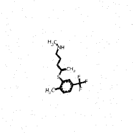 C=C(CCCNC)Sc1cc(C(F)(F)F)ccc1C